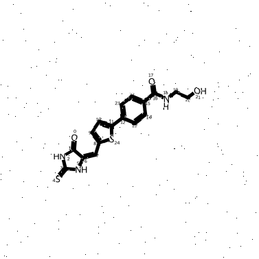 O=C1NC(=S)N/C1=C/c1ccc(-c2ccc(C(=O)NCCO)cc2)s1